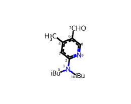 CCC(C)N(c1cc(C)c(C=O)cn1)C(C)CC